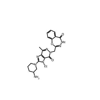 CCn1c(N2CCCC(N)C2)nc2c(C)nn(CC3=NNC(=O)c4ccccc4O3)c(=O)c21